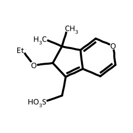 CCOC1C(CS(=O)(=O)O)=C2C=COC=C2C1(C)C